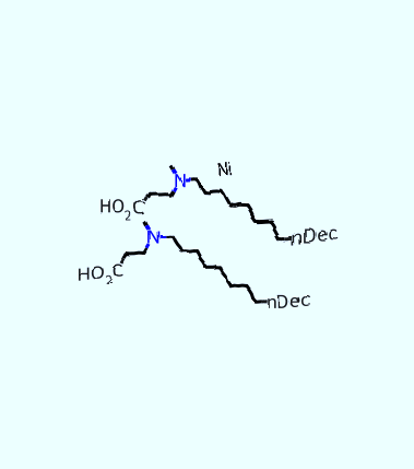 CCCCCCCCCCCCCCCCCCN(C)CCC(=O)O.CCCCCCCCCCCCCCCCCCN(C)CCC(=O)O.[Ni]